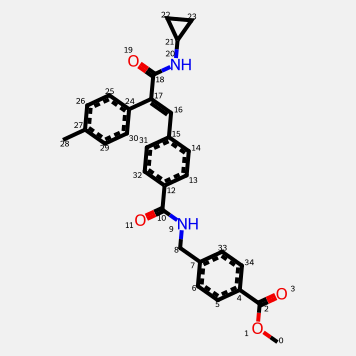 COC(=O)c1ccc(CNC(=O)c2ccc(/C=C(/C(=O)NC3CC3)c3ccc(C)cc3)cc2)cc1